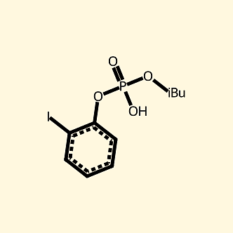 CCC(C)OP(=O)(O)Oc1ccccc1I